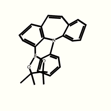 CC1(C)OB(c2cccc3c2N(c2ccccc2)c2ccccc2C=C3)OC1(C)C